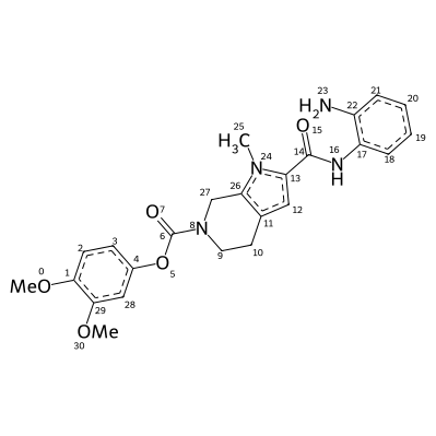 COc1ccc(OC(=O)N2CCc3cc(C(=O)Nc4ccccc4N)n(C)c3C2)cc1OC